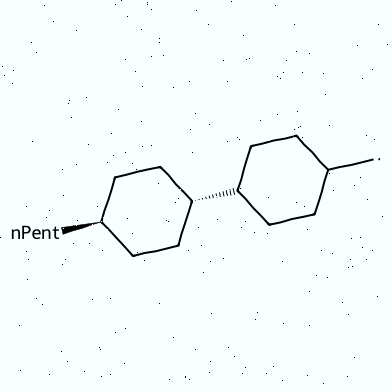 [CH2]C1CCC([C@H]2CC[C@H](CCCCC)CC2)CC1